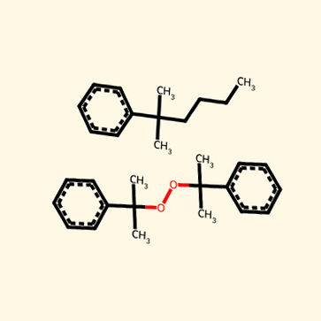 CC(C)(OOC(C)(C)c1ccccc1)c1ccccc1.CCCCC(C)(C)c1ccccc1